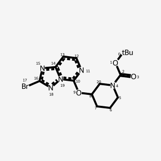 CC(C)(C)OC(=O)N1CCCC(Oc2nccc3nc(Br)nn23)C1